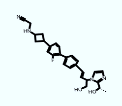 C[C@H](O)c1nccn1C(/C=C/c1ccc(-c2ccc(C3CC(NCC#N)C3)cc2F)cc1)CO